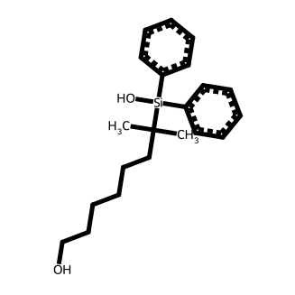 CC(C)(CCCCCCO)[Si](O)(c1ccccc1)c1ccccc1